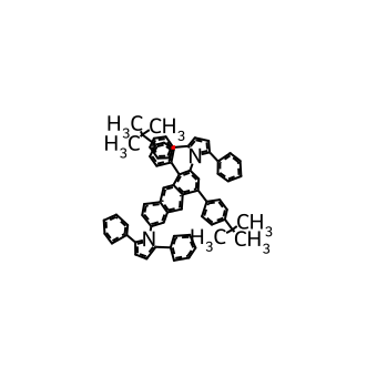 CC(C)(C)c1ccc(-c2cc(-n3c(-c4ccccc4)ccc3-c3ccccc3)c(-c3ccc(C(C)(C)C)cc3)c3cc4ccc(-n5c(-c6ccccc6)ccc5-c5ccccc5)cc4cc23)cc1